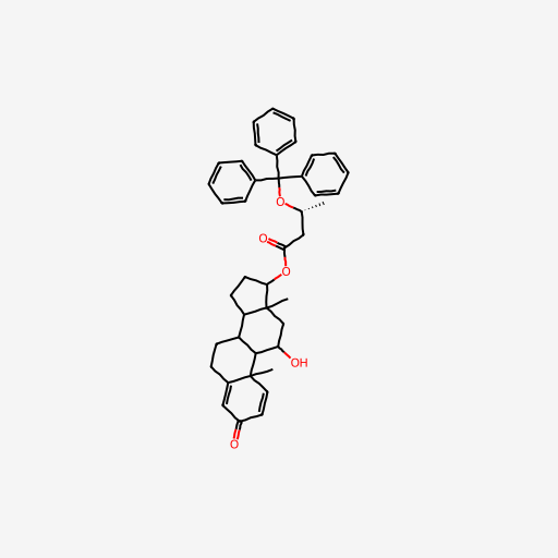 C[C@H](CC(=O)OC1CCC2C3CCC4=CC(=O)C=CC4(C)C3C(O)CC12C)OC(c1ccccc1)(c1ccccc1)c1ccccc1